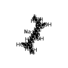 O=C(CO)NB(B(I)B(I)BBB(I)I)B(I)B(I)B(I)B(I)B(I)B(I)N(B(I)B(I)B(I)B(I)B(I)B(I)B(NC(=O)CO)B(I)B(I)BBB(I)I)C(=O)CO.[Na]